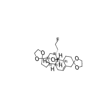 C[C@]12C[C@H](CCF)[C@H]3[C@@H](CC=C4CC5(CC[C@@H]43)OCCO5)[C@@H]1CCC21OCCO1